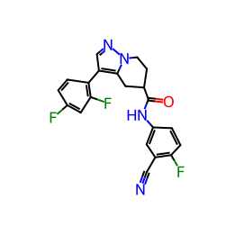 N#Cc1cc(NC(=O)C2CCn3ncc(-c4ccc(F)cc4F)c3C2)ccc1F